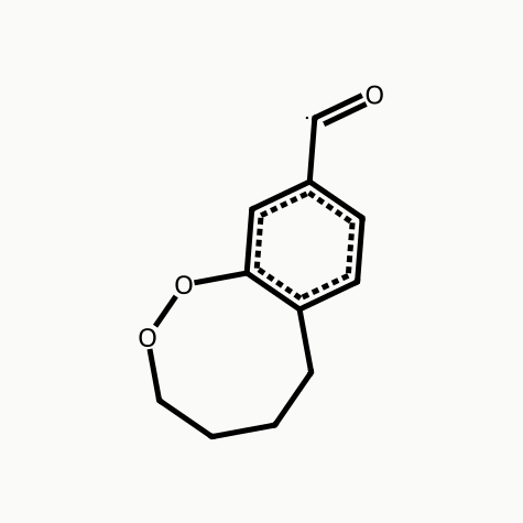 O=[C]c1ccc2c(c1)OOCCCC2